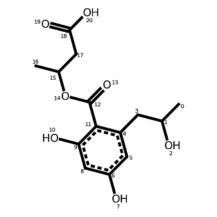 CC(O)Cc1cc(O)cc(O)c1C(=O)OC(C)CC(=O)O